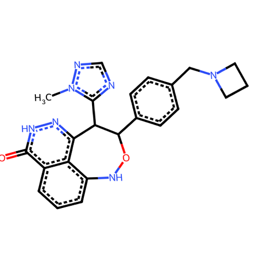 Cn1ncnc1C1c2n[nH]c(=O)c3cccc(c23)NOC1c1ccc(CN2CCC2)cc1